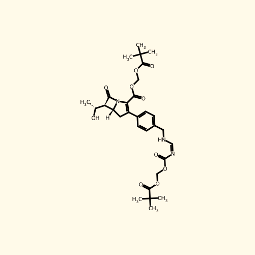 C[C@@H](O)[C@H]1C(=O)N2C(C(=O)OCOC(=O)C(C)(C)C)=C(c3ccc(CN/C=N\C(=O)OCOC(=O)C(C)(C)C)cc3)C[C@H]12